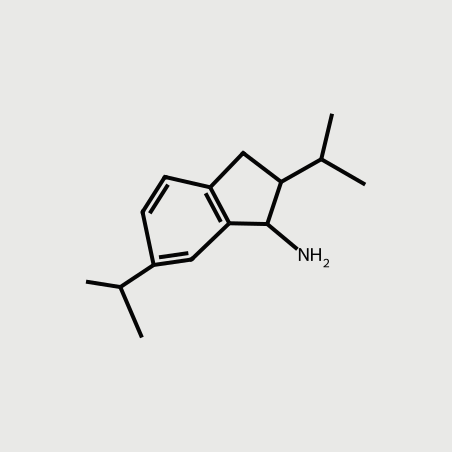 CC(C)c1ccc2c(c1)C(N)C(C(C)C)C2